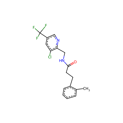 Cc1ccccc1CCC(=O)NCc1ncc(C(F)(F)F)cc1Cl